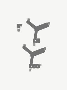 C=C(C)C#N.C=C(C)C(=O)[O-].[K+]